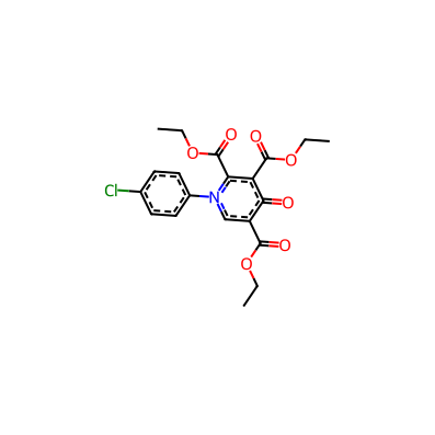 CCOC(=O)c1cn(-c2ccc(Cl)cc2)c(C(=O)OCC)c(C(=O)OCC)c1=O